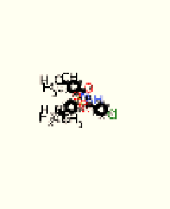 CC(C)(C)c1ccc(C(=O)N(NC(=O)c2ccc(Cl)cc2)S(=O)(=O)c2ccc(C(C)(C)C)cc2)cc1